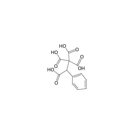 O=C(O)C(c1ccccc1)C(C(=O)O)(C(=O)O)C(=O)O